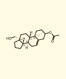 CC(=O)OC1CC[C@@]2(C)C(=CC[C@H]3[C@@H]4CCC[C@@]4(CO)CC[C@@H]32)C1